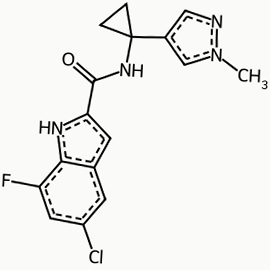 Cn1cc(C2(NC(=O)c3cc4cc(Cl)cc(F)c4[nH]3)CC2)cn1